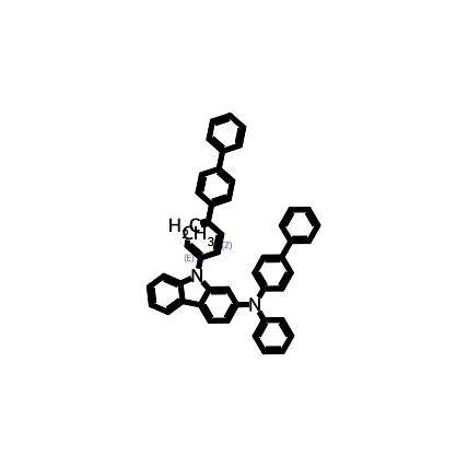 C=C(/C=C\C(=C/C)n1c2ccccc2c2ccc(N(c3ccccc3)c3ccc(-c4ccccc4)cc3)cc21)c1ccc(-c2ccccc2)cc1